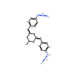 CC1CC(=Cc2ccc(N=[N+]=[N-])cc2)CC(=Cc2ccc(N=[N+]=[N-])cc2)C1